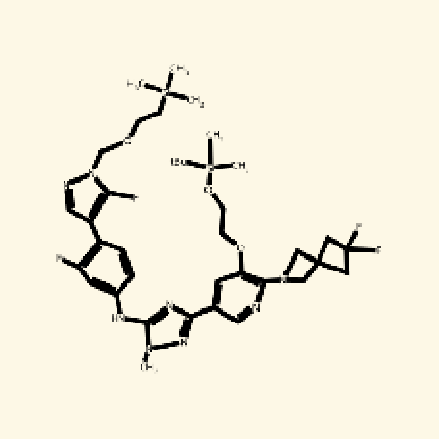 Cn1nc(-c2cnc(N3CC4(C3)CC(F)(F)C4)c(OCCO[Si](C)(C)C(C)(C)C)c2)nc1Nc1ccc(-c2cnn(COCC[Si](C)(C)C)c2F)c(F)c1